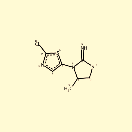 CC1CSC(=N)N1c1cnc(Cl)s1